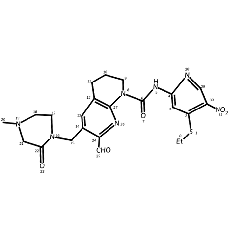 CCSc1cc(NC(=O)N2CCCc3cc(CN4CCN(C)CC4=O)c(C=O)nc32)ncc1[N+](=O)[O-]